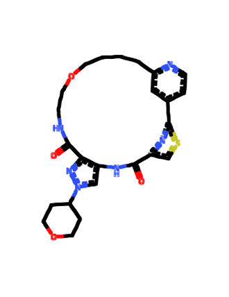 O=C1Nc2cn(C3CCOCC3)nc2C(=O)NCCOCCCCc2cc(ccn2)-c2nc1cs2